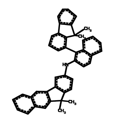 CC1(C)c2ccc(Nc3ccc4ccccc4c3-c3cccc4c3C(C)(C)c3ccccc3-4)cc2-c2cc3ccccc3cc21